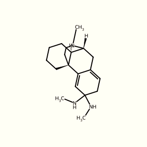 CNC1(NC)C=C2C(=CC1)C[C@@H]1[C@@H]3CCCC[C@]23CCN1C